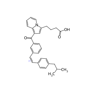 CC(C)Cc1ccc(/C=C\c2cccc(C(=O)c3cc(CCCC(=O)O)n4ccccc34)c2)cc1